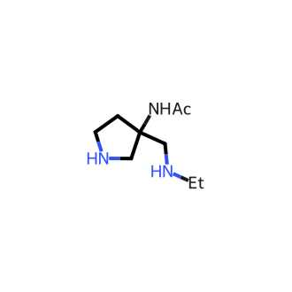 CCNCC1(NC(C)=O)CCNC1